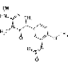 CNC(=S)N(C)C(=O)C(C)c1ccc(OC)c(N=S(=O)=O)c1